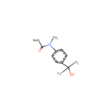 CNC(=O)N(C)c1ccc(C(O)(C(F)(F)F)C(F)(F)F)cc1